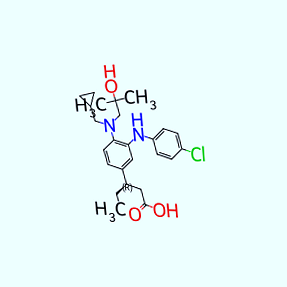 CC[C@H](CC(=O)O)c1ccc(N(CC2CC2)CC(C)(C)O)c(Nc2ccc(Cl)cc2)c1